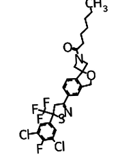 CCCCCCC(=O)N1CC2(C1)OCc1cc(C3=NSC(c4cc(Cl)c(F)c(Cl)c4)(C(F)(F)F)C3)ccc12